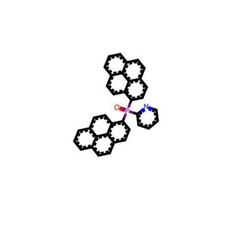 O=P(c1ccccn1)(c1ccc2ccc3cccc4ccc1c2c34)c1ccc2ccc3cccc4ccc1c2c34